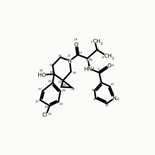 CC(C)[C@@H](NC(=O)c1cccnc1)C(=O)N1CCC(O)(c2ccc(Cl)cc2)C2(CC2)C1